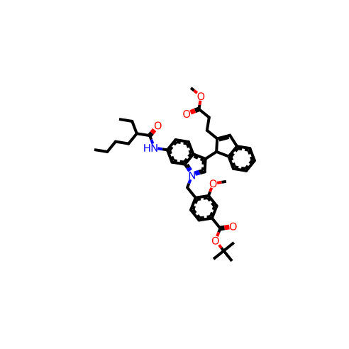 CCCCC(CC)C(=O)Nc1ccc2c(C3C(CCC(=O)OC)=Cc4ccccc43)cn(Cc3ccc(C(=O)OC(C)(C)C)cc3OC)c2c1